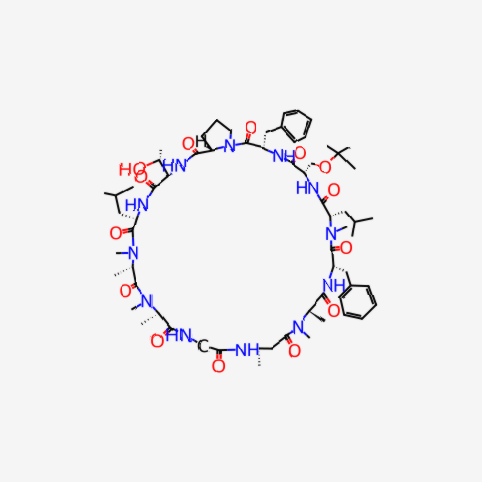 CC(C)C[C@@H]1NC(=O)[C@H]([C@@H](C)O)NC(=O)[C@@H]2CCCN2C(=O)[C@H](Cc2ccccc2)NC(=O)[C@H](COC(C)(C)C)NC(=O)[C@H](CC(C)C)N(C)C(=O)[C@H](Cc2ccccc2)NC(=O)[C@@H](C)N(C)C(=O)C[C@H](C)NC(=O)CNC(=O)[C@H](C)N(C)C(=O)[C@H](C)N(C)C1=O